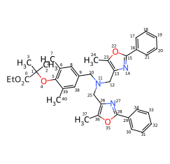 CCOC(=O)C(C)(C)Oc1c(C)cc(CN(Cc2nc(-c3ccccc3)oc2C)Cc2nc(-c3ccccc3)oc2C)cc1C